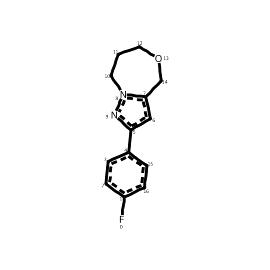 Fc1ccc(-c2cc3n(n2)CCCOC3)cc1